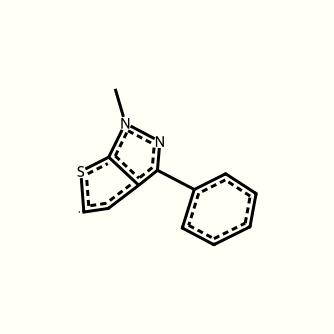 Cn1nc(-c2ccccc2)c2c[c]sc21